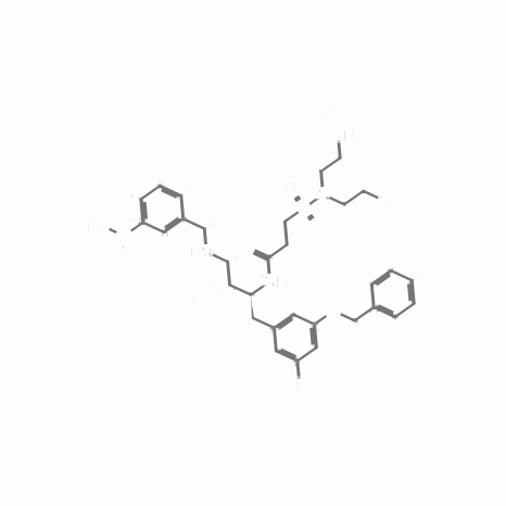 CCCN(CCC)S(=O)(=O)CCC(=O)N[C@@H](Cc1cc(F)cc(OCc2ccccc2)c1)[C@H](O)CNCc1cccc(OC)c1.Cl